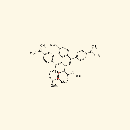 CCCCOC(=O)C(C(=O)OCCCC)C(C=C(c1ccc(OC)cc1)c1ccc(N(C)C)cc1)C=C(c1ccc(OC)cc1)c1ccc(N(C)C)cc1